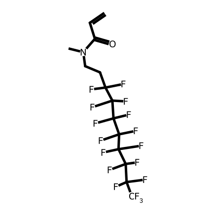 C=CC(=O)N(C)CCC(F)(F)C(F)(F)C(F)(F)C(F)(F)C(F)(F)C(F)(F)C(F)(F)C(F)(F)F